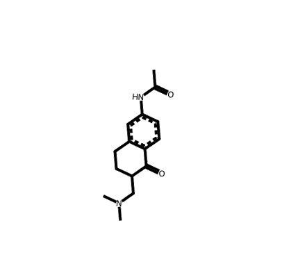 CC(=O)Nc1ccc2c(c1)CCC(CN(C)C)C2=O